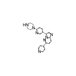 c1cc(-c2ccc3ncc(-c4ccc(N5CCNCC5)nc4)n3n2)ccn1